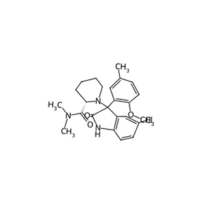 COc1ccc(C)cc1C1(N2CCCC[C@H]2C(=O)N(C)C)C(=O)Nc2ccc(Cl)cc21